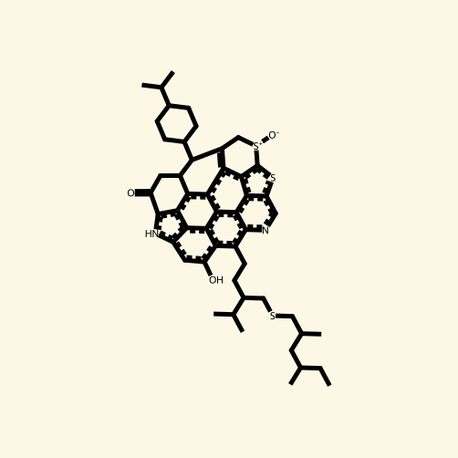 CCC(C)CC(C)CSCC(CCc1c2ncc3sc4c5c6c7c8c9c([nH]c%10cc(O)c1c(c%109)c7c2c35)C(=O)CC8C(C1CCC(C(C)C)CC1)C=6C[S+]4[O-])C(C)C